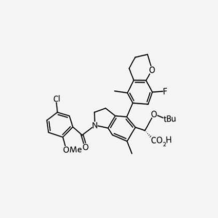 COc1ccc(Cl)cc1C(=O)N1CCc2c1cc(C)c([C@H](OC(C)(C)C)C(=O)O)c2-c1cc(F)c2c(c1C)CCCO2